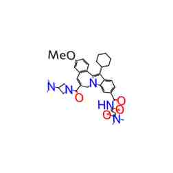 COc1ccc2c(c1)C=C(C(=O)N1CC(N(C)C)C1)Cn1c-2c(C2CCCCC2)c2ccc(C(=O)NS(=O)(=O)N(C)C)cc21